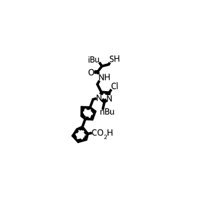 CCCCc1nc(Cl)c(CNC(=O)C(CS)C(C)CC)n1Cc1ccc(-c2ccccc2C(=O)O)cc1